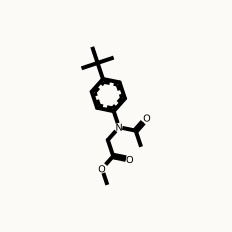 COC(=O)CN(C(C)=O)c1ccc(C(C)(C)C)cc1